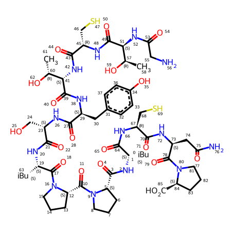 CC[C@H](C)[C@H](NC(=O)[C@@H]1CCCN1C(=O)[C@@H]1CCCN1C(=O)[C@@H](NC(=O)[C@H](CO)NC(=O)[C@H](Cc1ccc(O)cc1)NC(=O)[C@@H](NC(=O)[C@H](CS)NC(=O)[C@@H](NC(=O)CN)[C@@H](C)O)[C@@H](C)O)[C@@H](C)CC)C(=O)N[C@@H](CS)C(=O)N[C@@H](CC(N)=O)C(=O)N1CCC[C@H]1C(=O)O